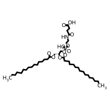 CCCCCCCCCCCCCCCC(=O)OC[C@H](COP(=O)(O)OCCNC(=O)CCC(=O)O)OC(=O)CCCCCCCCCCCCCCC